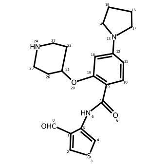 O=Cc1cscc1NC(=O)c1ccc(N2CCCC2)cc1OC1CCNCC1